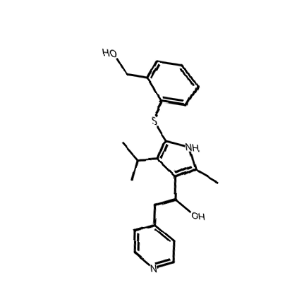 Cc1[nH]c(Sc2ccccc2CO)c(C(C)C)c1C(O)Cc1ccncc1